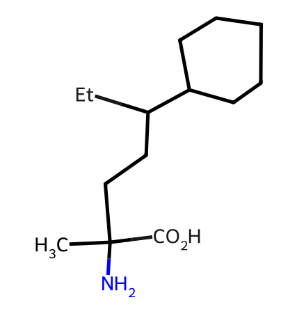 CCC(CCC(C)(N)C(=O)O)C1CCCCC1